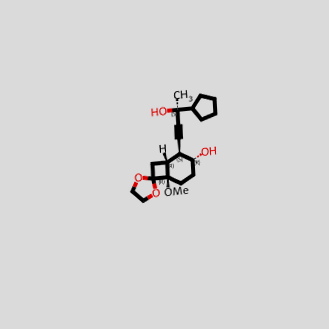 CO[C@]12CC[C@@H](O)[C@H](C#C[C@@](C)(O)C3CCCC3)[C@H]1CC21OCCO1